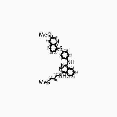 COc1cnc2c(Sc3ccc(Nc4nnc(NCCCSC)c5ccccc45)cc3)ccnc2c1